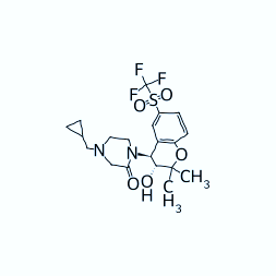 CC1(C)Oc2ccc(S(=O)(=O)C(F)(F)F)cc2[C@H](N2CCN(CC3CC3)CC2=O)[C@H]1O